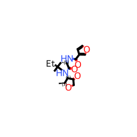 CCC(C)(C)C[C@H](NC(=O)c1ccoc1)C(=O)N[C@@H]1C(=O)CO[C@H]1C